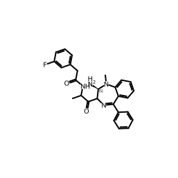 CC(NC(=O)Cc1cccc(F)c1)C(=O)C1N=C(c2ccccc2)c2ccccc2N(C)[C@@H]1N